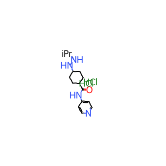 CC(C)NN[C@H]1CC[C@@H](C(=O)Nc2ccncc2)CC1.Cl.Cl